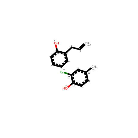 C=CCc1ccccc1O.Cc1ccc(O)c(Br)c1